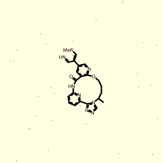 CN/C=C(\C=N)c1cnc2c(c1)C(=O)Nc1cccc(n1)-c1nncn1C(C)CCCO2